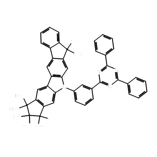 CC1(C)c2ccccc2-c2cc3c4cc5c(cc4n(-c4cccc(-c6nc(-c7ccccc7)nc(-c7ccccc7)n6)c4)c3cc21)C(C)(C)C(C)(C)C5(C)C